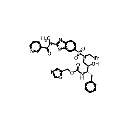 CC(C)CN(C[C@@H](O)[C@H](Cc1ccccc1)NC(=O)OCc1cncs1)S(=O)(=O)c1ccc2nc(N(C)C(=O)c3cccnc3)sc2c1